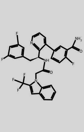 NC(=O)c1cc(-c2cccnc2[C@H](Cc2cc(F)cc(F)c2)NC(=O)Cn2c(C(F)(F)F)cc3ccccc32)ccc1F